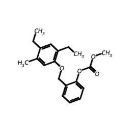 CCc1cc(CC)c(OCc2ccccc2OC(=O)OC)cc1C